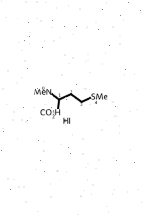 CNC(CCSC)C(=O)O.I